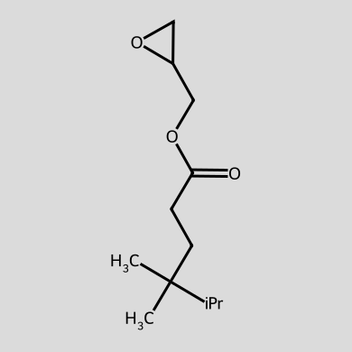 CC(C)C(C)(C)CCC(=O)OCC1CO1